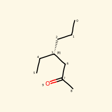 CCC[C@@H](CC)CC(C)=O